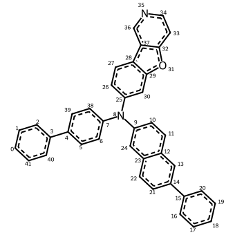 c1ccc(-c2ccc(N(c3ccc4cc(-c5ccccc5)ccc4c3)c3ccc4c(c3)oc3ccncc34)cc2)cc1